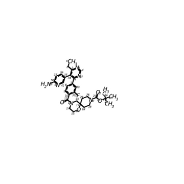 CCc1ncnc(-c2ccc(C(=O)N3CCOC4(CCN(C(=O)OC(C)(C)C)CC4)C3)c(F)c2)c1-c1ccc(N)nc1